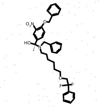 C[C@](O)(c1ccc(OCc2ccccc2)c([N+](=O)[O-])c1)N(CCCCCCOCC(F)(F)c1ccccc1)Cc1ccccc1